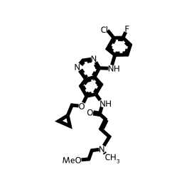 COCCN(C)CC=CC(=O)Nc1cc2c(Nc3ccc(F)c(Cl)c3)ncnc2cc1OCC1CC1